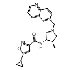 C[C@@H]1CN(Cc2ccc3ncccc3c2)C[C@H]1NC(=O)c1cc(C2CC2)on1